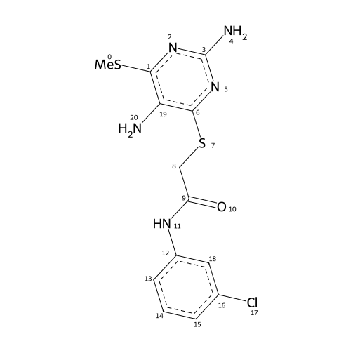 CSc1nc(N)nc(SCC(=O)Nc2cccc(Cl)c2)c1N